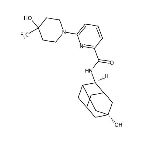 O=C(N[C@H]1C2CC3CC1C[C@](O)(C3)C2)c1cccc(N2CCC(O)(C(F)(F)F)CC2)n1